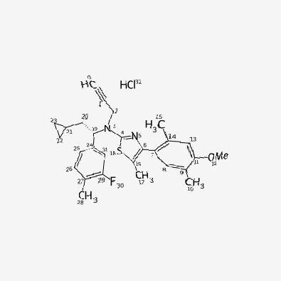 C#CCN(c1nc(-c2cc(C)c(OC)cc2C)c(C)s1)[C@@H](CC1CC1)c1ccc(C)c(F)c1.Cl